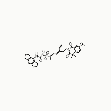 C=C/C(=C\C=C(/C)S(=O)(=O)NC(=O)Nc1c2c(cc3c1CCC3)CCC2)CCN1C(=O)c2cc(OC)ccc2C(C)(C)C1=O